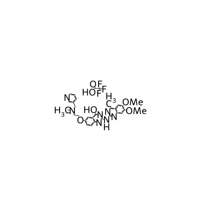 COc1cc2nc(Nc3nc(O)c4cc(OCCN(C)Cc5cccnc5)ccc4n3)nc(C)c2cc1OC.O=C(O)C(F)(F)F